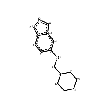 [c]1nnc2ccc(OCC3CCCCC3)cn12